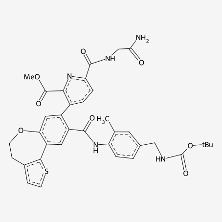 COC(=O)c1nc(C(=O)NCC(N)=O)ccc1-c1cc2c(cc1C(=O)Nc1ccc(CNC(=O)OC(C)(C)C)cc1C)-c1sccc1CCO2